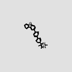 Cc1nc(C)c(C)c(-c2ccc(-c3ccc(-c4ccc5oc6ccccc6c5c4)cc3)cc2)n1